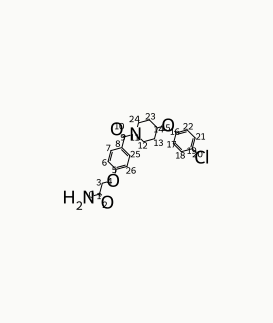 NC(=O)COc1ccc(C(=O)N2CCC(Oc3ccc(Cl)cc3)CC2)cc1